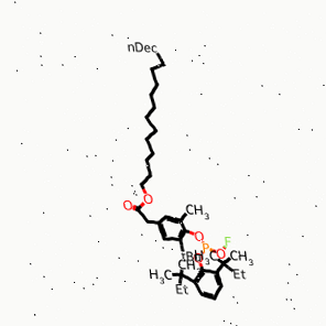 CCCCCCCCCCCCCCCCCCCCCCOC(=O)Cc1cc(C)c(OP(OF)Oc2c(C(C)(C)CC)cccc2C(C)(C)CC)c(C(C)(C)C)c1